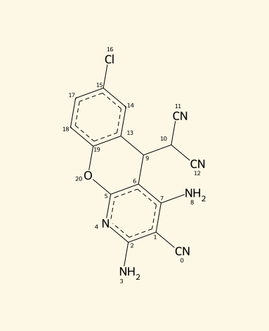 N#Cc1c(N)nc2c(c1N)C(C(C#N)C#N)c1cc(Cl)ccc1O2